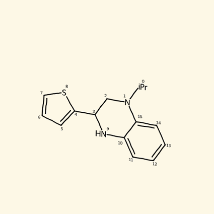 CC(C)N1CC(c2cccs2)Nc2ccccc21